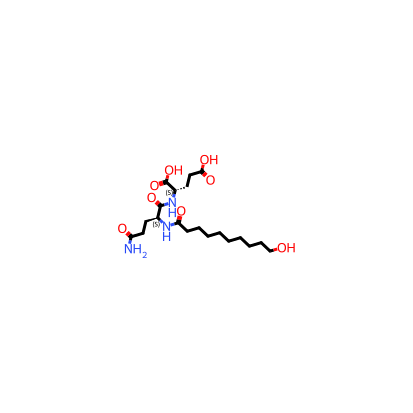 NC(=O)CC[C@H](NC(=O)CCCCCCCCCO)C(=O)N[C@@H](CCC(=O)O)C(=O)O